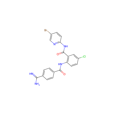 N=C(N)c1ccc(C(=O)Nc2ccc(Cl)cc2C(=O)Nc2ccc(Br)cn2)cc1